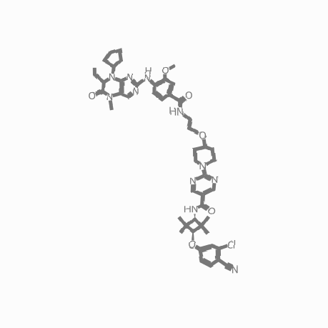 CCC1C(=O)N(C)c2cnc(Nc3ccc(C(=O)NCCOC4CCN(c5ncc(C(=O)N[C@H]6C(C)(C)[C@H](Oc7ccc(C#N)c(Cl)c7)C6(C)C)cn5)CC4)cc3OC)nc2N1C1CCCC1